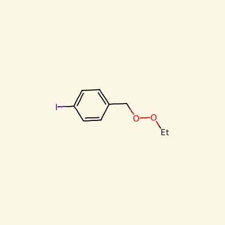 CCOOCc1ccc(I)cc1